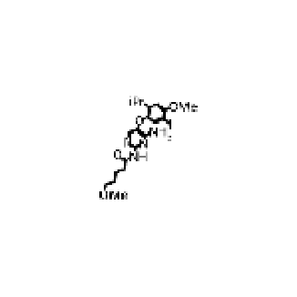 COCCCCC(=O)Nc1ncc(Oc2cc(I)c(OC)cc2C(C)C)c(N)n1